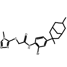 CC1CC2CC(C1)CC(C)(c1ccc(NC(=O)CSc3nncn3C)c(Br)c1)C2